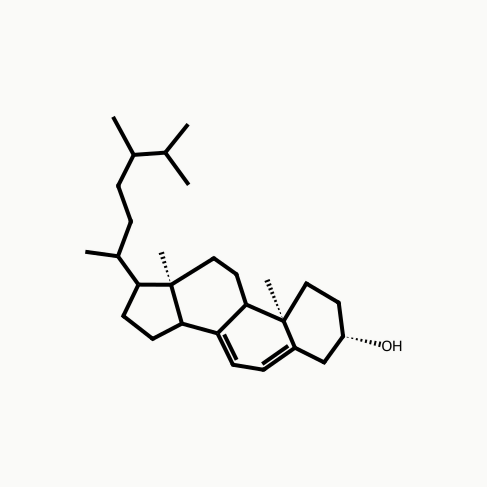 CC(C)C(C)CCC(C)C1CCC2C3=CC=C4C[C@@H](O)CC[C@]4(C)C3CC[C@@]21C